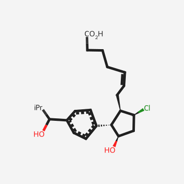 CC(C)C(O)c1ccc([C@@H]2[C@@H](C/C=C\CCCC(=O)O)[C@@H](Cl)C[C@H]2O)cc1